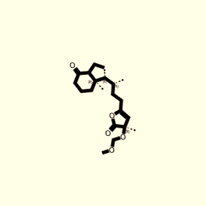 COCO[C@]1(C)C=C(CC[C@@H](C)[C@H]2CCC3C(=O)CCC[C@@]32C)OC1=O